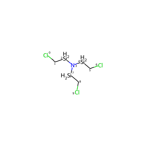 ClC[SiH2]N([SiH2]CCl)[SiH2]CCl